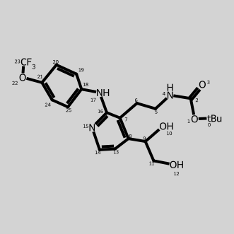 CC(C)(C)OC(=O)NCCc1c(C(O)CO)ccnc1Nc1ccc(OC(F)(F)F)cc1